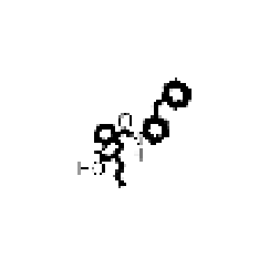 CCCC(CC1(C(=O)Nc2cccc(Cc3ccccc3)c2)CCCC1)C(=O)O